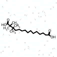 CC(C)(CCCCCCCCCCCC(=O)O)C(C)(C)C(=O)O